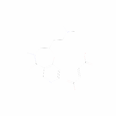 CN(C)CCC1CN(C)C(=O)c2cnccc2O1.O=C(O)C=CC(=O)O